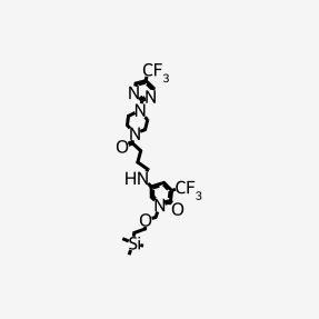 C[Si](C)(C)CCOCn1cc(NCCCC(=O)N2CCN(c3ncc(C(F)(F)F)cn3)CC2)cc(C(F)(F)F)c1=O